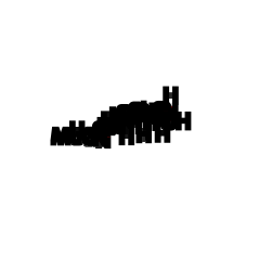 COCCn1ncc(-c2ccc(-c3cnc(C(=O)Nc4ccc(C(=O)N[C@H]5[C@@H]6CN(C(=O)N[C@@H]7CNC[C@H]7O)C[C@@H]65)c(Cl)c4)n3C)c(F)c2F)c1C